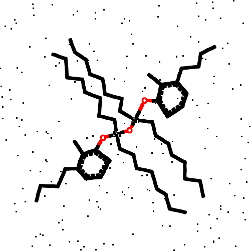 CCCCCCC[CH2][Sn]([CH2]CCCCCCC)([O]c1cccc(CCCC)c1C)[O][Sn]([CH2]CCCCCCC)([CH2]CCCCCCC)[O]c1cccc(CCCC)c1C